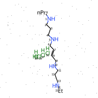 CCCNCCCNCC=CCNCCCNCC.Cl.Cl.Cl.Cl